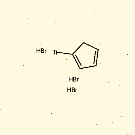 Br.Br.Br.[Ti][C]1=CC=CC1